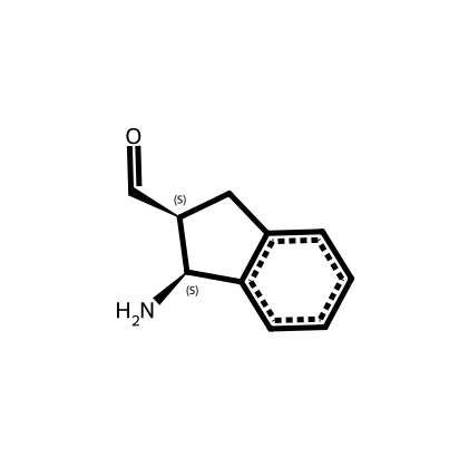 N[C@@H]1c2ccccc2C[C@@H]1C=O